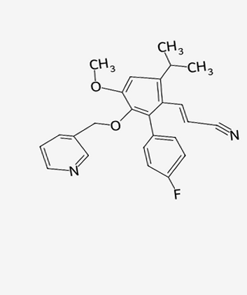 COc1cc(C(C)C)c(C=CC#N)c(-c2ccc(F)cc2)c1OCc1cccnc1